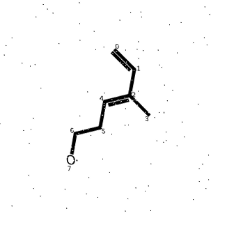 C=CC(C)=CCC[O]